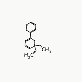 C=CC1(CC)C=CC=C(c2ccccc2)C1